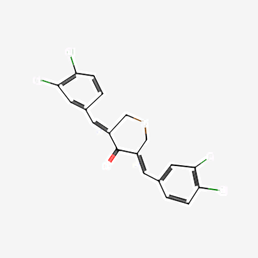 O=C1/C(=C/c2ccc(Cl)c(Cl)c2)CSC/C1=C\c1ccc(Cl)c(Cl)c1